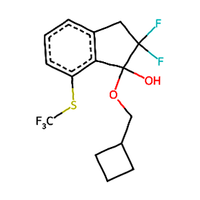 OC1(OCC2CCC2)c2c(cccc2SC(F)(F)F)CC1(F)F